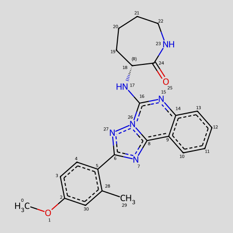 COc1ccc(-c2nc3c4ccccc4nc(N[C@@H]4CCCCNC4=O)n3n2)c(C)c1